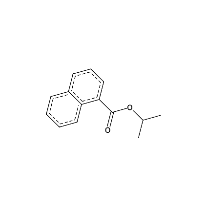 CC(C)OC(=O)c1cccc2ccccc12